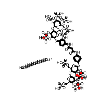 O=C(CC(=O)Nc1ccc(S[C@@H]2O[C@H](COS(=O)(=O)O)[C@@H](O[C@H]3O[C@H](COS(=O)(=O)O)[C@@H](OS(=O)(=O)O)[C@H](OS(=O)(=O)O)[C@H]3OS(=O)(=O)O)[C@H](OS(=O)(=O)O)[C@H]2OS(=O)(=O)O)cc1)Nc1ccc(S[C@@H]2O[C@H](COS(=O)(=O)O)[C@@H](O[C@H]3O[C@H](COS(=O)(=O)O)[C@@H](OS(=O)(=O)O)[C@H](OS(=O)(=O)O)[C@H]3OS(=O)(=O)O)[C@H](OS(=O)(=O)O)[C@H]2OS(=O)(=O)O)cc1.[Na+].[Na+].[Na+].[Na+].[Na+].[Na+].[Na+].[Na+].[Na+].[Na+].[Na+].[Na+].[Na+].[Na+]